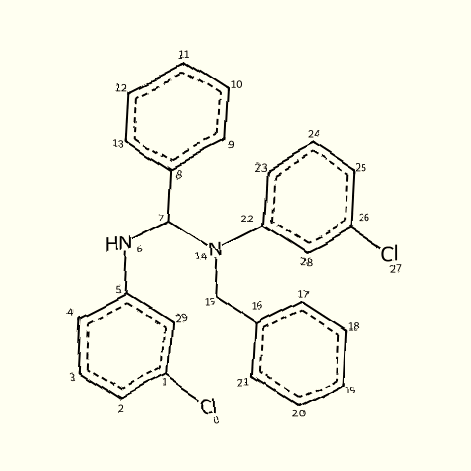 Clc1cccc(NC(c2ccccc2)N(Cc2ccccc2)c2cccc(Cl)c2)c1